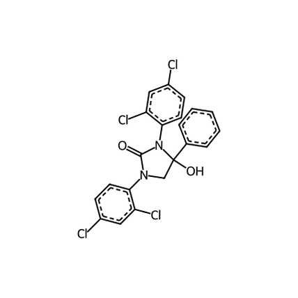 O=C1N(c2ccc(Cl)cc2Cl)CC(O)(c2ccccc2)N1c1ccc(Cl)cc1Cl